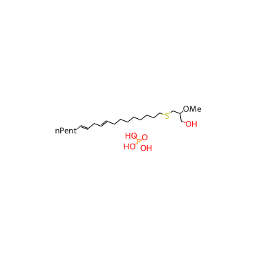 CCCCCC=CCC=CCCCCCCCCSCC(CO)OC.O=P(O)(O)O